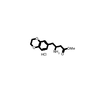 COC(=O)CC(N)Cc1ccc2c(c1)OCCO2.Cl